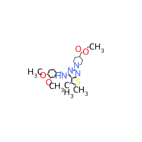 CCOC(=O)C1CCN(c2nc(NCc3ccc(OC)c(OC)c3)c3c(C)c(C)sc3n2)CC1